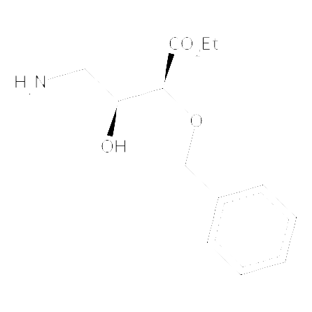 CCOC(=O)[C@@H](OCc1ccccc1)[C@@H](O)CN